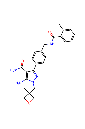 Cc1ccccc1C(=O)NCc1ccc(-c2nn(CC3(C)COC3)c(N)c2C(N)=O)cc1